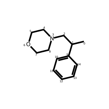 CC(CN1CCOCC1)c1ccccc1